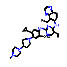 C=Cc1cnc(Nc2cc(C3CC3)c(N3CCC(N4CCN(C)CC4)CC3)cc2OC)nc1Nc1ccc2nccnc2c1CC(C)C